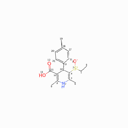 CC[S+]([O-])C1=C(C)NC(C)=C(C(=O)O)C1c1ccc(C)cc1